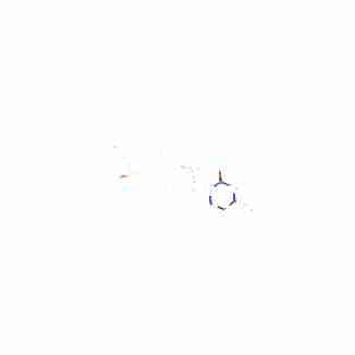 Nc1ccn([C@@H]2O[C@H](COP(=O)(OP(=O)(O)O)OP(=O)(O)O)[C@@H](O)[C@H]2O)c(=O)n1